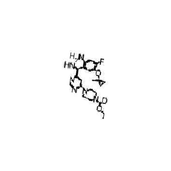 CCOC(=O)N1CCN(c2cc(C(=N)c3cc(OC4(C)CC4)c(F)cc3N)ncn2)CC1